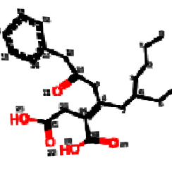 CCCCC(CC)CC(CC(=O)Cc1ccccc1)=C(CC(=O)O)C(=O)O